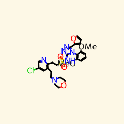 COc1cccc(OC)c1-n1c(NS(=O)(=O)CCc2ncc(Cl)cc2CCN2CCOCC2)nnc1-c1ccco1